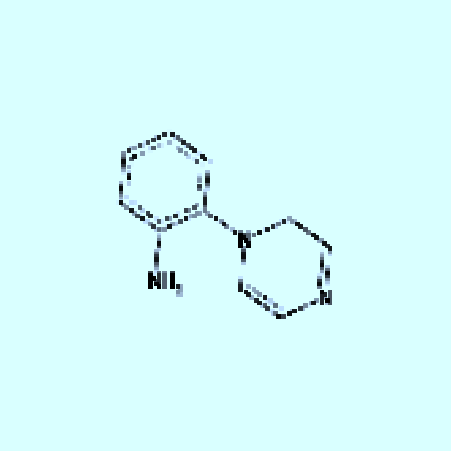 Nc1ccccc1N1C=CN=CC1